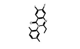 CCc1nc2cc(F)c(I)cc2c(=O)n1-c1cc(C)ccc1C